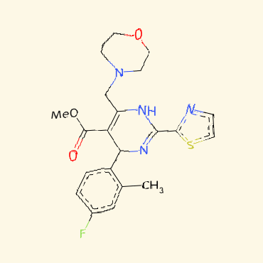 COC(=O)C1=C(CN2CCOCC2)NC(c2nccs2)=NC1c1ccc(F)cc1C